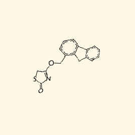 O=C1N=C(OCc2cccc3c2Cc2ccccc2-3)CS1